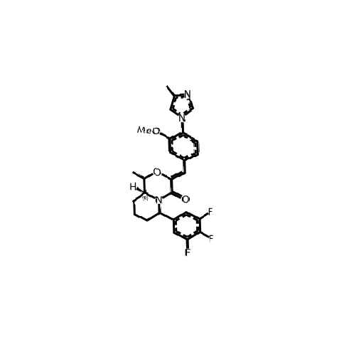 COc1cc(C=C2OC(C)[C@H]3CCCC(c4cc(F)c(F)c(F)c4)N3C2=O)ccc1-n1cnc(C)c1